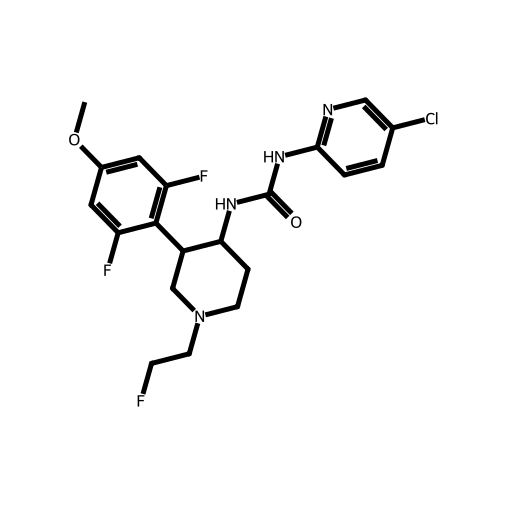 COc1cc(F)c(C2CN(CCF)CCC2NC(=O)Nc2ccc(Cl)cn2)c(F)c1